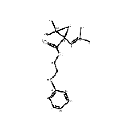 CC(C)=CC1(C(=O)OCCOc2ccccc2)CC1(C)C